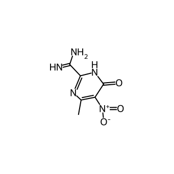 Cc1nc(C(=N)N)[nH]c(=O)c1[N+](=O)[O-]